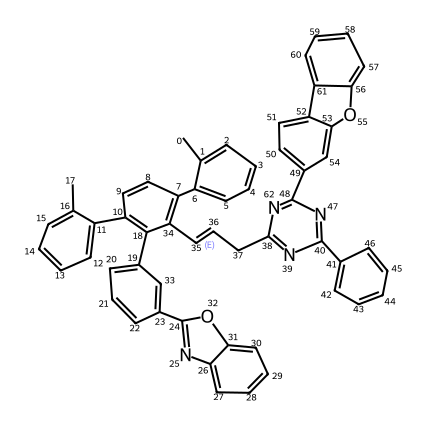 Cc1ccccc1-c1ccc(-c2ccccc2C)c(-c2cccc(-c3nc4ccccc4o3)c2)c1/C=C/Cc1nc(-c2ccccc2)nc(-c2ccc3c(c2)oc2ccccc23)n1